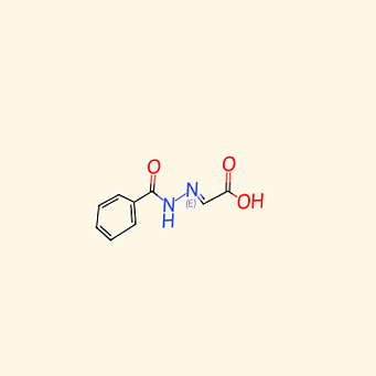 O=C(O)/C=N/NC(=O)c1ccccc1